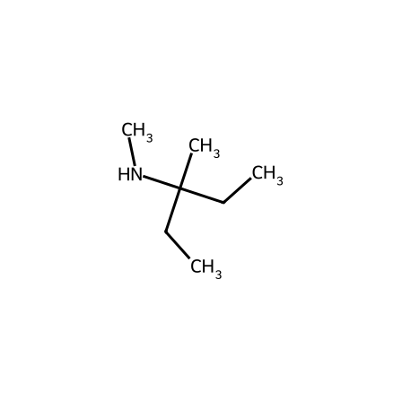 CCC(C)(CC)NC